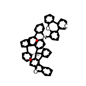 c1ccc(-c2ccccc2N(c2ccc3c(c2)-c2ccccc2-c2ccccc2[C@@]32c3ccccc3-c3c2ccc2oc4ccccc4c32)c2cccc3c2Oc2ccccc2-c2ccccc2-3)cc1